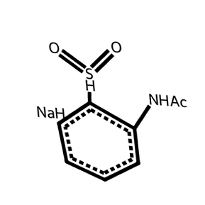 CC(=O)Nc1ccccc1[SH](=O)=O.[NaH]